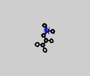 c1ccc(-c2nc(-c3ccccc3)nc(-c3cccc(-c4cc(-c5cc(C6CCCCC6)cc(C6CCCCC6)c5)cc(C5CCCCC5)c4)c3)n2)cc1